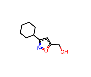 OCc1cc(C2CCCCC2)no1